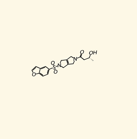 C[C@@H](O)CC(=O)N1CC2=C(C1)CN(S(=O)(=O)c1ccc3occc3c1)C2